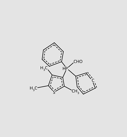 Cc1sc(C)c([PH](C=O)(c2ccccc2)c2ccccc2)c1C